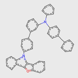 c1ccc(-c2ccc(N(c3ccccc3)c3cccc(-c4ccc(-n5c6ccccc6c6oc7ccccc7c65)cc4)c3)cc2)cc1